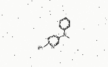 CC(C)c1ccc(N(C)c2ccccc2)cn1